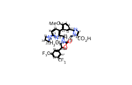 COc1ccc(-c2ncc(C(=O)O)n2C)cc1-c1ccc(N2CCC2)nc1CN1C(=O)OC(c2cc(C(F)(F)F)cc(C(F)(F)F)c2)[C@@H]1C